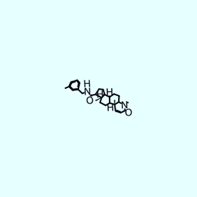 Cc1cccc(CNC(=O)C2CC[C@H]3[C@@H]4CCC5N(C)C(=O)C=C[C@]5(C)[C@@H]4CC[C@]23C)c1